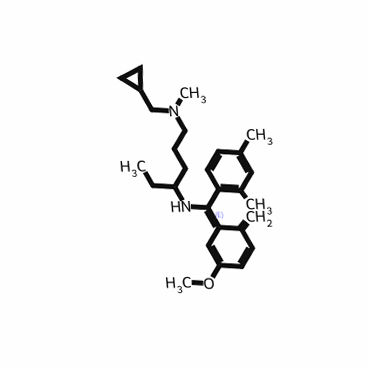 C=c1ccc(OC)c/c1=C(\NC(CC)CCCN(C)CC1CC1)c1ccc(C)cc1C